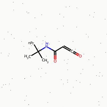 CCCC(C)(C)NC(=O)C=C=O